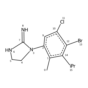 Cc1c(N2CCNC2=N)cc(Cl)c(Br)c1C(C)C